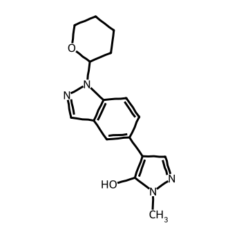 Cn1ncc(-c2ccc3c(cnn3C3CCCCO3)c2)c1O